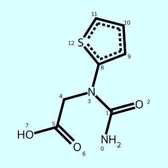 NC(=O)N(CC(=O)O)c1cccs1